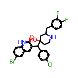 O=c1[nH]c2ccc(Br)cc2cc1C(c1ccc(Cl)cc1)C1(O)CCNC(Cc2ccc(F)c(F)c2)C1